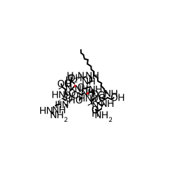 CCCCCCCCCCCCCCCC(=O)N[C@H](C(=O)N[C@@H](CC(N)=O)C(=O)N[C@@H](C)C(=O)N[C@@H](C)C(=O)N[C@@H](CCCNC(=N)N)C(=O)N[C@@H](CO)C(=O)N[C@@H](CC(=O)O)C(=O)N[C@H](C(=O)N[C@@H](CCCNC(=N)N)C(=O)NC)[C@@H](C)O)[C@@H](C)O